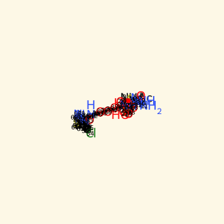 CC(=O)N[C@@H](CSc1nc2c(=O)[nH]c(N)nc2n1C1OC2COP(=O)(O)OC2C1O)C(=O)NCCCOCCOCCOCCCNC(=O)C[C@@H]1N=C(c2ccc(Cl)cc2)c2c(sc(C)c2C)-n2c(C)nnc21